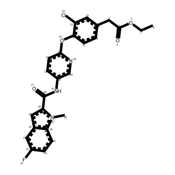 CCOC(=O)Cc1ccc(Oc2ccc(NC(=O)c3cc4cc(F)ccc4n3C)cn2)c(Cl)c1